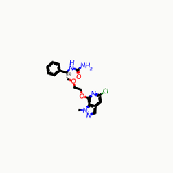 Cn1ncc2cc(Cl)nc(OCCOC[C@@H](NC(N)=O)c3ccccc3)c21